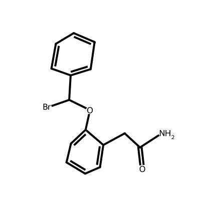 NC(=O)Cc1ccccc1OC(Br)c1ccccc1